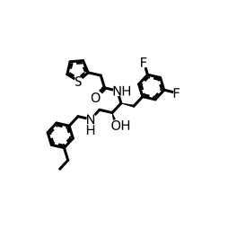 CCc1cccc(CNC[C@H](O)[C@H](Cc2cc(F)cc(F)c2)NC(=O)Cc2cccs2)c1